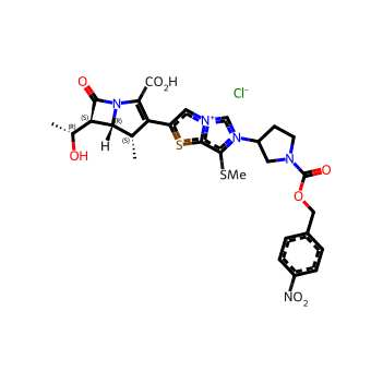 CSc1c2sc(C3=C(C(=O)O)N4C(=O)[C@H]([C@@H](C)O)[C@H]4[C@H]3C)c[n+]2cn1C1CCN(C(=O)OCc2ccc([N+](=O)[O-])cc2)C1.[Cl-]